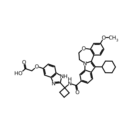 COc1ccc2c(c1)OCCn1c-2c(C2CCCCC2)c2ccc(C(=O)NC3(c4nc5cc(OCC(=O)O)ccc5[nH]4)CCC3)cc21